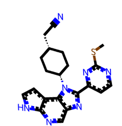 CSc1nccc(-c2nc3cnc4[nH]ccc4c3n2[C@H]2CC[C@@H](CC#N)CC2)n1